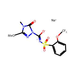 COc1nn(/C([O-])=N/S(=O)(=O)c2ccccc2OC(F)(F)F)c(=O)n1C.[Na+]